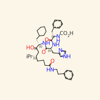 CC(C)[C@@H](CCCC(=O)NCCc1ccccc1)C[C@@H](O)[C@H](CC1CCCCC1)NC(=O)[C@H](Cc1c[nH]cn1)NC(=O)[C@H](Cc1ccccc1)NC(=O)O